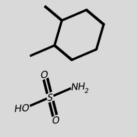 CC1CCCCC1C.NS(=O)(=O)O